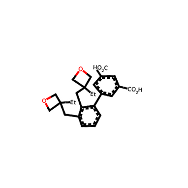 CCC1(Cc2cccc(-c3cc(C(=O)O)cc(C(=O)O)c3)c2CC2(CC)COC2)COC1